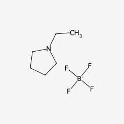 CCN1CCCC1.F[B-](F)(F)F